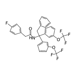 O=C(Cc1ccc(F)cc1)NC(Cc1ccccc1)(c1cccc(OC(F)(F)F)c1)c1cccc(OC(F)(F)F)c1